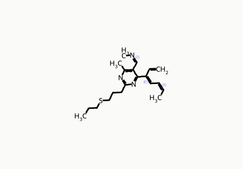 C=C/C(=C\C=C/C)c1nc(CCCSCCC)nc(C)c1/C=N\C